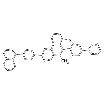 Cc1c2c3c(cccc3c3cc(-c4ccc(-c5cccc6ccccc56)cc4)ccc13)Sc1cc(-c3cccnc3)ccc1-2